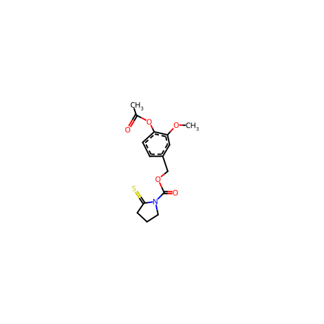 COc1cc(COC(=O)N2CCCC2=S)ccc1OC(C)=O